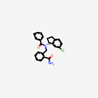 NC(=O)c1ccccc1CN(C(=O)c1ccccc1)[C@@H]1CCc2ccc(Cl)cc21